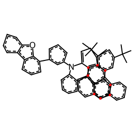 CC1C=C(c2cccc3cccc(-c4cc(C(C)(C)C)cc(C(C)(C)C)c4)c23)C(N(c2cccc(-c3cccc4c3oc3ccccc34)c2)c2ccccc2-c2cccc3c2ccc2ccccc23)=CC1